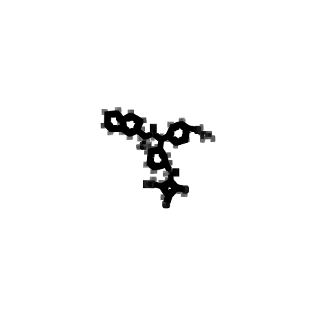 COc1ccc(C(N[C@H](C)c2ccc3ccccc3c2)c2cccc(Nc3c(O)c(=O)c3=O)c2)cc1